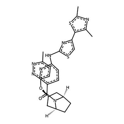 Cc1ccc(O[C@H]2C[C@H]3CC[C@@H](C2)N3C(=O)c2ccc(Nc3nc(-c4sc(C)nc4C)cs3)nc2)nn1